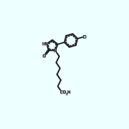 O=C(O)CCCCCCn1c(-c2ccc(Cl)cc2)c[nH]c1=O